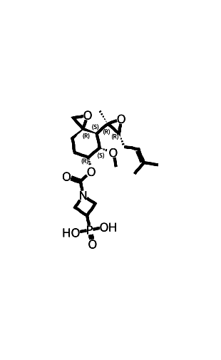 CO[C@@H]1[C@H](OC(=O)N2CC(P(=O)(O)O)C2)CC[C@]2(CO2)[C@H]1[C@@]1(C)O[C@@H]1CC=C(C)C